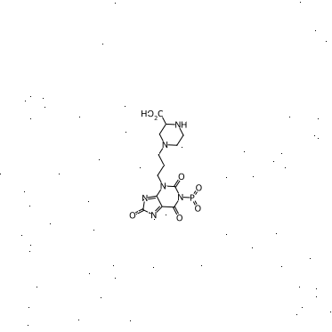 O=C1N=c2c(n(CCCN3CCNC(C(=O)O)C3)c(=O)n(P(=O)=O)c2=O)=N1